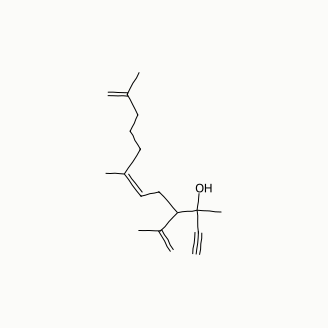 C#CC(C)(O)C(CC=C(C)CCCC(=C)C)C(=C)C